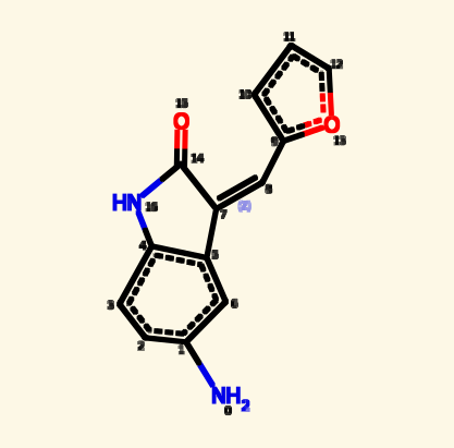 Nc1ccc2c(c1)/C(=C/c1ccco1)C(=O)N2